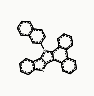 c1ccc2cc(-n3c4c5ccccc5sc4c4c5ccccc5c5ccccc5c43)ccc2c1